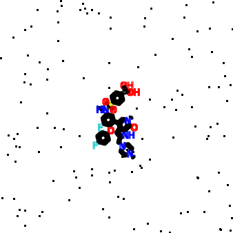 CN1CCN(Cc2cc3c(-c4cc(NS(=O)(=O)c5ccc(B(O)O)cc5)ccc4Oc4ccc(F)cc4F)cn(C)c(=O)c3[nH]2)CC1